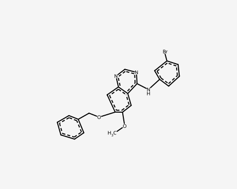 COc1cc2c(Nc3cccc(Br)c3)ncnc2cc1OCc1ccccc1